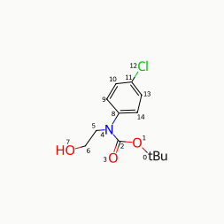 CC(C)(C)OC(=O)N(CCO)c1ccc(Cl)cc1